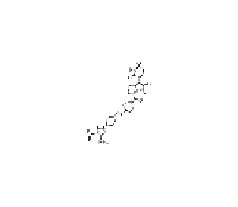 Cn1c(=O)n(C2CCC(=O)NC2=O)c2cccc(C(=O)N3CCC(OCC4CCC(n5cc(N)c(C(F)F)n5)CC4)CC3)c21